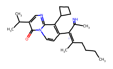 CCCC/C(C)=C(\C(C)=N)c1ccn2c(=O)c(C(C)C)cnc2c1C1CCC1